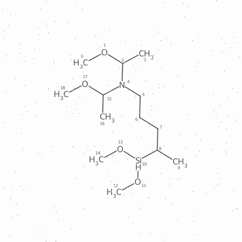 COC(C)N(CCCC(C)[SiH](OC)OC)C(C)OC